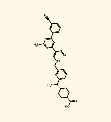 CC(c1cccc(CN/C=C(\N=N)c2cc(-c3cccc(C#N)c3)nc(N)n2)n1)[C@H]1CC[C@H](C(=O)O)CC1